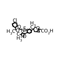 Cc1noc(-c2ccc(C3(C)COC4(CC(=O)O)CC4C3)cc2F)c1NC(=O)OC(C)c1ccc(Cl)cc1